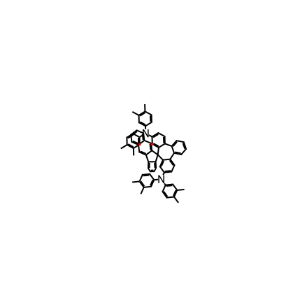 Cc1ccc(N(c2ccc(C)c(C)c2)c2ccc3c(c2)C2(c4cc(N(c5ccc(C)c(C)c5)c5ccc(C)c(C)c5)ccc4-c4ccccc4-3)c3ccccc3-c3cc4ccccc4cc32)cc1C